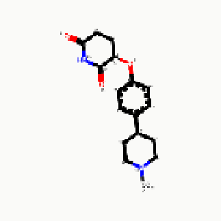 O=C1CC[C@@H](Oc2ccc(C3CCN(C(=O)O)CC3)cc2)C(=O)N1